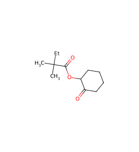 CCC(C)(C)C(=O)OC1CCCCC1=O